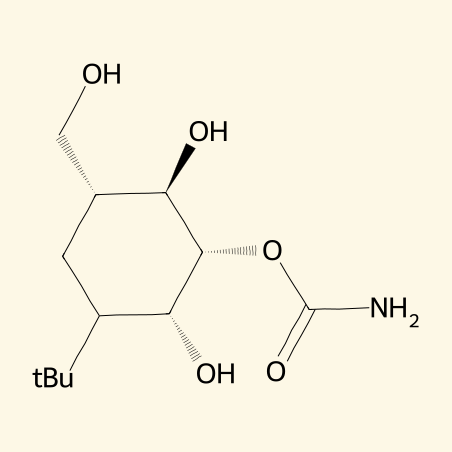 CC(C)(C)C1C[C@H](CO)[C@@H](O)[C@H](OC(N)=O)[C@@H]1O